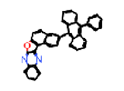 c1ccc(-c2c3ccccc3c(-c3ccc4c(ccc5oc6nc7ccccc7nc6c54)c3)c3ccccc23)cc1